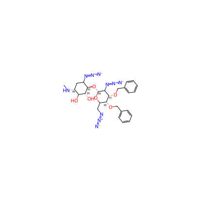 CN[C@@H]1CC(N=[N+]=[N-])[C@@H](O[C@H]2OC(CN=[N+]=[N-])[C@@H](OCc3ccccc3)[C@@H](OCc3ccccc3)C2N=[N+]=[N-])[C@H](O)C1O